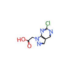 O=C(O)Cn1ncc2cnc(Cl)nc21